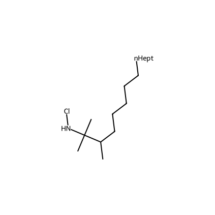 CCCCCCCCCCCCC(C)C(C)(C)NCl